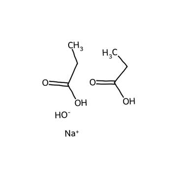 CCC(=O)O.CCC(=O)O.[Na+].[OH-]